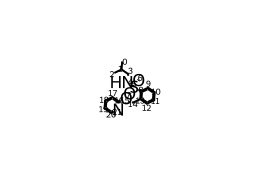 CC(C)CNS(=O)(=O)c1ccccc1COc1ccccn1